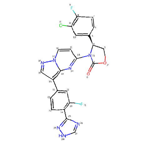 O=C1OC[C@H](c2ccc(F)c(Cl)c2)N1c1ccn2ncc(-c3ccc(-c4nc[nH]n4)c(F)c3)c2n1